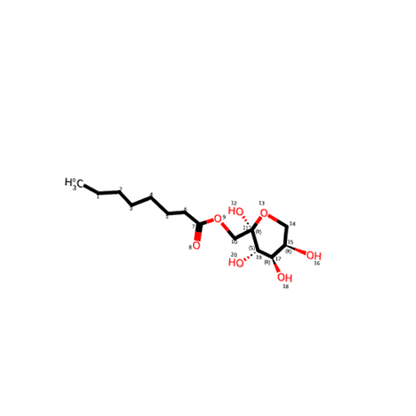 CCCCCCCC(=O)OC[C@@]1(O)OC[C@@H](O)[C@@H](O)[C@@H]1O